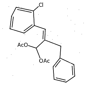 CC(=O)OC(OC(C)=O)C(=Cc1ccccc1Cl)Cc1ccccc1